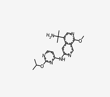 COc1ncc(C(C)(C)N)c2cc(Nc3ccnc(OC(C)C)n3)ncc12